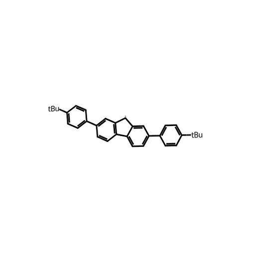 CC(C)(C)c1ccc(-c2ccc3c(c2)[CH]c2cc(-c4ccc(C(C)(C)C)cc4)ccc2-3)cc1